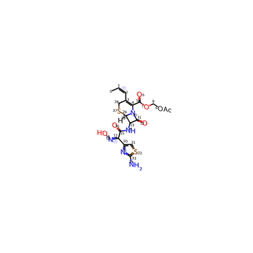 C/C=C\C1=C(C(=O)OCOC(C)=O)N2C(=O)C(NC(=O)/C(=N\O)c3csc(N)n3)[C@H]2SC1